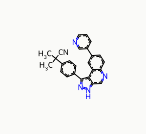 CC(C)(C#N)c1ccc(-c2n[nH]c3cnc4ccc(-c5cccnc5)cc4c23)cc1